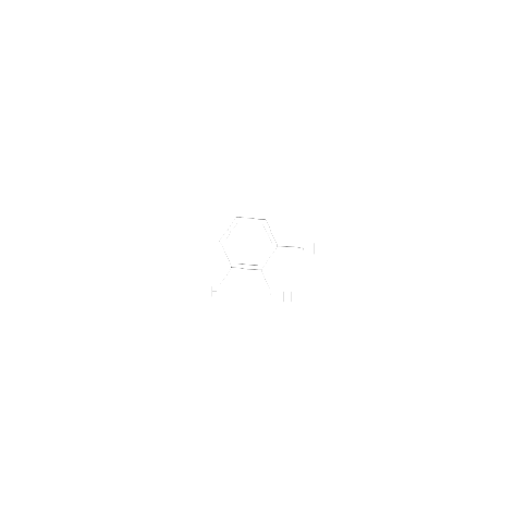 Fc1cccc(Cl)c1[SiH3]